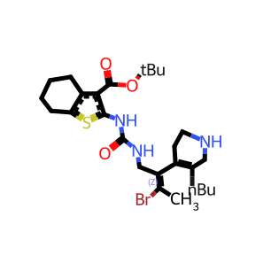 CCCCC1=C(/C(CNC(=O)Nc2sc3c(c2C(=O)OC(C)(C)C)CCCC3)=C(\C)Br)CCNC1